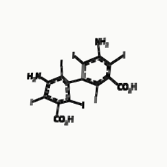 Nc1c(I)c(C(=O)O)c(I)c(-c2c(I)c(N)c(I)c(C(=O)O)c2I)c1I